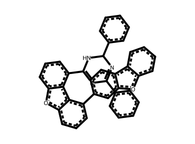 c1ccc(C2=NC(c3ccccc3)NC(c3cccc4oc5cccc(-c6ccc7c(c6)oc6ccccc67)c5c34)=N2)cc1